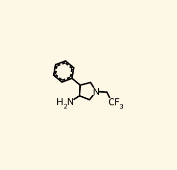 NC1CN(CC(F)(F)F)CC1c1ccccc1